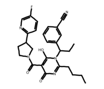 CCCCc1nc(=O)c(C(=O)N2CCC(c3ccc(F)cn3)C2)c(O)n1C(CC)c1cccc(C#N)c1